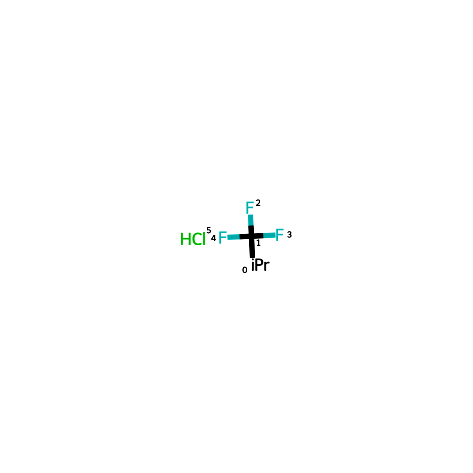 CC(C)C(F)(F)F.Cl